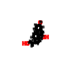 CC(CO)[C@H]1CC[C@H]2[C@@H]3[C@H](O)CC4=CC(=O)C=C[C@]4(C)[C@H]3CC[C@]12C